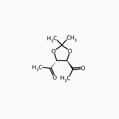 CC(=O)[C@@H]1OC(C)(C)O[C@H]1C(C)=O